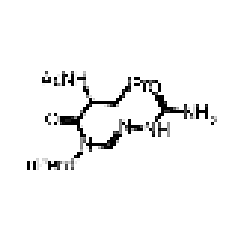 CCCCCN(C=NNC(N)=O)C(=O)[C@H](CC(C)C)NC(C)=O